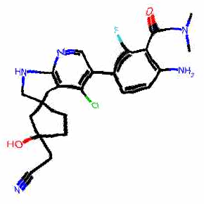 CN(C)C(=O)c1c(N)ccc(-c2cnc3c(c2Cl)C2(CCC(O)(CC#N)C2)CN3)c1F